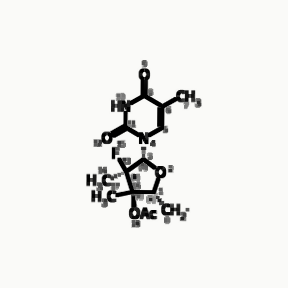 [CH2][C@H]1O[C@@H](n2cc(C)c(=O)[nH]c2=O)[C@](C)(F)[C@]1(C)OC(C)=O